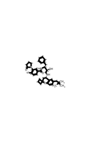 CC(C)(C)Cc1ccc2c(c1)[C@@H](NC[C@H](O)[C@H](Cc1ccccc1)NC(=O)c1ccc(F)c(N3CCCC3=O)c1)CC1(CCC1)O2